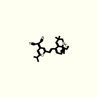 CC(C)C1=CC(=C(C#N)C#N)C=C(C=CC2=CC=CC34C2=CC(C)(C)CN3CCCC4(C)C)O1